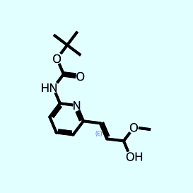 COC(O)/C=C/c1cccc(NC(=O)OC(C)(C)C)n1